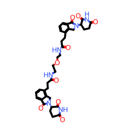 O=C(CCc1cccc2c1CN(C1CCC(=O)NC1=O)C2=O)NCCOCCNC(=O)CCc1cccc2c1CN(C1CCC(=O)NC1=O)C2=O